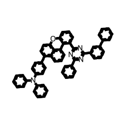 c1ccc(-c2cccc(-c3nc(-c4ccccc4)nc(-c4cccc5c4-c4cccc6c(-c7ccc(N(c8ccccc8)c8ccccc8)cc7)ccc(c46)O5)n3)c2)cc1